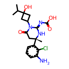 CC(C)C1(O)CC(N2C(=O)C[C@@](C)(c3cccc(N)c3Cl)N/C2=N\C(=O)O)C1